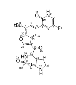 CC(C)(C)c1cc(-c2cc(F)c[nH]c2=O)cc2c(C(=O)[C@@H](NS(C)(=O)=O)C3CCNC3)coc12